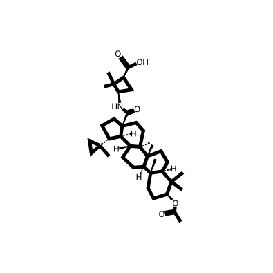 CC(=O)O[C@H]1CC[C@]2(C)[C@H]3CC[C@@H]4[C@H]5[C@H](C6(C)CC6)CC[C@]5(C(=O)N[C@@H]5C[C@H](C(=O)O)C5(C)C)CC[C@@]4(C)[C@]3(C)CC[C@H]2C1(C)C